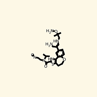 CC(C)N(CCN=O)C(=O)C1NC2=C(CCOc3ccc(/C(=C/NCC(C)(C)ON)CN)cc32)S1